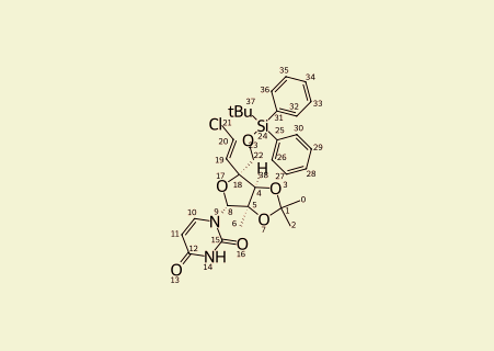 CC1(C)O[C@H]2[C@@](C)(O1)[C@H](n1ccc(=O)[nH]c1=O)O[C@]2(C=CCl)CO[Si](c1ccccc1)(c1ccccc1)C(C)(C)C